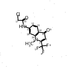 Cn1c(C(F)(F)F)cc(=O)c2ccc(NC(=O)CCl)cc21